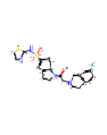 O=C(CN1CCc2ccc(Cl)cc2C1)N1CCc2cc(S(=O)(=O)Nc3nccs3)ccc21